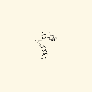 Cc1nc(-c2c[nH]c(=O)[nH]c2=O)cc(N2C[C@H](Oc3cc4c(cn3)cnn4CC(F)F)C(F)(F)C2)n1